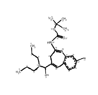 CCCN(CCC)C(O)C1=Cc2ccc(Br)cc2N=C(NC(=O)OC(C)(C)C)C1